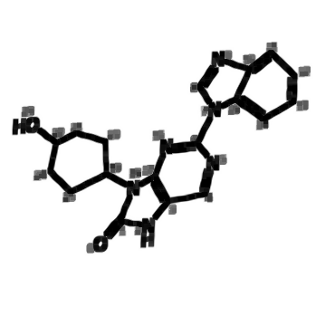 O=c1[nH]c2cnc(-n3cnc4ccccc43)nc2n1C1CCC(O)CC1